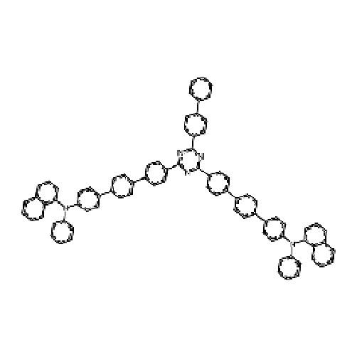 c1ccc(-c2ccc(-c3nc(-c4ccc(-c5ccc(-c6ccc(N(c7ccccc7)c7cccc8ccccc78)cc6)cc5)cc4)nc(-c4ccc(-c5ccc(-c6ccc(N(c7ccccc7)c7cccc8ccccc78)cc6)cc5)cc4)n3)cc2)cc1